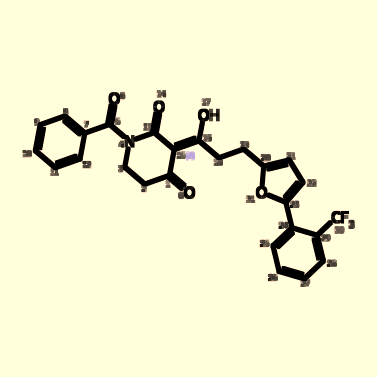 O=C1CCN(C(=O)c2ccccc2)C(=O)/C1=C(\O)CCc1ccc(-c2ccccc2C(F)(F)F)o1